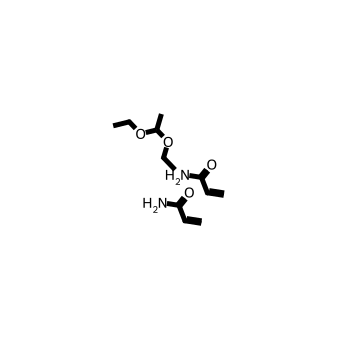 C=CC(N)=O.C=CC(N)=O.CCOC(C)OCC